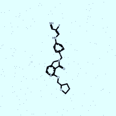 N=C/C(F)=C\Nc1ccc(CN2Cc3ccnc(OCC4CCCO4)c3C2=O)cc1